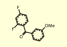 COc1cccc(C(=O)c2ccc(F)cc2F)c1